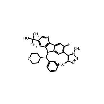 Cc1nnn(C)c1-c1cc2c(cc1F)c1ncc(C(C)(C)O)cc1n2[C@H](c1ccccc1)C1CCOCC1